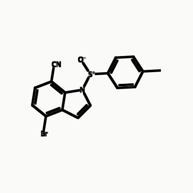 Cc1ccc([S+]([O-])n2ccc3c(Br)ccc(C#N)c32)cc1